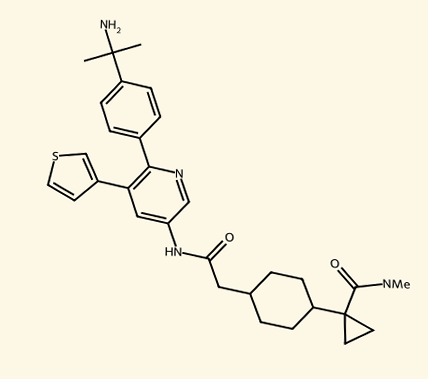 CNC(=O)C1(C2CCC(CC(=O)Nc3cnc(-c4ccc(C(C)(C)N)cc4)c(-c4ccsc4)c3)CC2)CC1